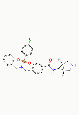 O=C(N[C@H]1[C@@H]2CNC[C@@H]21)c1ccc(CN(Cc2ccccc2)S(=O)(=O)c2ccc(Cl)cc2)cc1